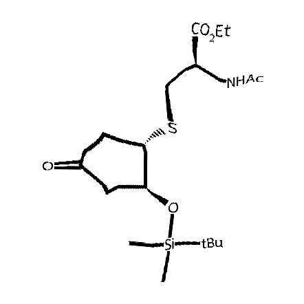 CCOC(=O)[C@H](CS[C@H]1CC(=O)C[C@@H]1O[Si](C)(C)C(C)(C)C)NC(C)=O